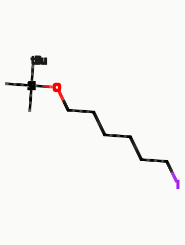 CC(C)(C)[Si](C)(C)OCCCCCCI